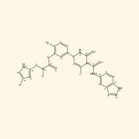 CC1=CC(c2ccc(F)c(CC(=O)N(C)Cc3nc(C)c[nH]3)c2)NC(=O)N1C(=O)Nc1ccc2[nH]ncc2c1